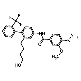 COc1cc(C(=O)Nc2ccc(-c3ccccc3C(F)(F)F)c(CCCCO)c2)ccc1SN